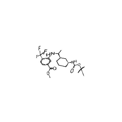 COC(=O)c1ccc(C(F)(F)F)c(NC(C)[C@@H]2CCC[C@H](NC(=O)OC(C)(C)C)C2)c1